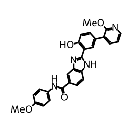 COc1ccc(NC(=O)c2ccc3[nH]c(-c4cc(-c5cccnc5OC)ccc4O)nc3c2)cc1